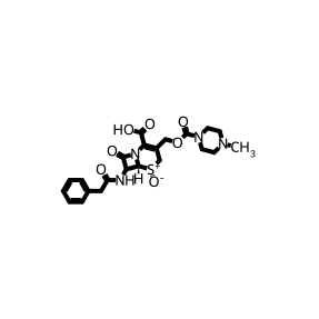 CN1CCN(C(=O)OCC2=C(C(=O)O)N3C(=O)C(NC(=O)Cc4ccccc4)[C@@H]3[S+]([O-])C2)CC1